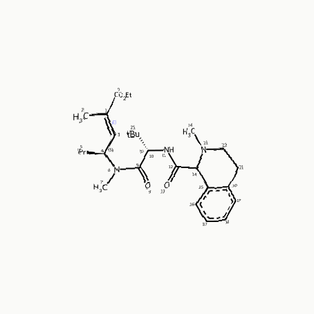 CCOC(=O)/C(C)=C/[C@H](C(C)C)N(C)C(=O)[C@@H](NC(=O)C1c2ccccc2CCN1C)C(C)(C)C